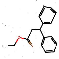 CCOC(=S)CC(c1ccccc1)c1ccccc1